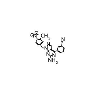 Cc1cc(Cn2ncc3c(-c4cccc(C#N)c4)nc(N)nc32)ccc1[N+](=O)[O-]